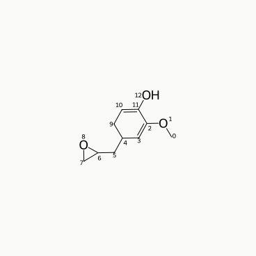 COC1=CC(CC2CO2)CC=C1O